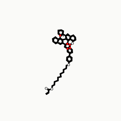 C=CC(=O)OCCCCCCCCCCCOc1ccc(-c2ccc(C(=O)Oc3c(-c4c(-c5ccccc5)cc5ccccc5c4O)c(-c4ccccc4)cc4ccccc34)cc2)cc1